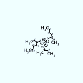 CCCCC(CC)COP(=O)(OCC(C)CC)OCC(CC)CCCC